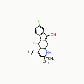 CC1=CC(C)(C)NC2=C1C(F)C1C(=C(O)c3cc(F)ccc31)C2